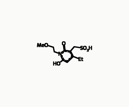 CCc1cc(O)n(CCOC)c(=O)c1CS(=O)(=O)O